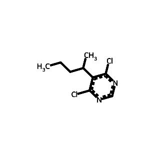 CCCC(C)c1c(Cl)ncnc1Cl